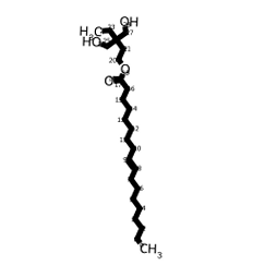 CCCCCCCCC=CCCCCCCCC(=O)OCCC(CC)(CO)CO